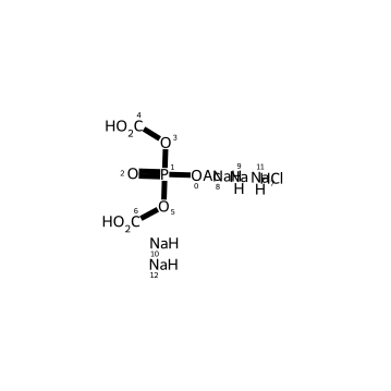 CC(=O)OP(=O)(OC(=O)O)OC(=O)O.Cl.[NaH].[NaH].[NaH].[NaH].[NaH]